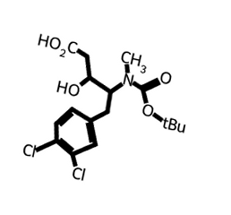 CN(C(=O)OC(C)(C)C)C(Cc1ccc(Cl)c(Cl)c1)C(O)CC(=O)O